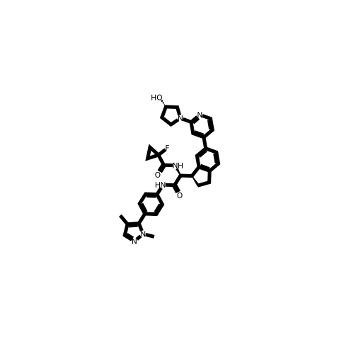 Cc1cnn(C)c1-c1ccc(NC(=O)[C@@H](NC(=O)C2(F)CC2)[C@@H]2CCc3ccc(-c4ccnc(N5CC[C@H](O)C5)c4)cc32)cc1